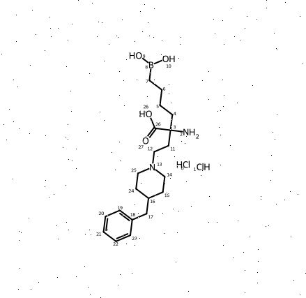 Cl.Cl.NC(CCCCB(O)O)(CCN1CCC(Cc2ccccc2)CC1)C(=O)O